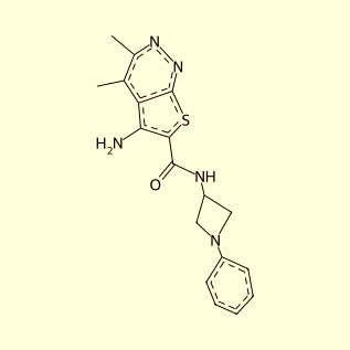 Cc1nnc2sc(C(=O)NC3CN(c4ccccc4)C3)c(N)c2c1C